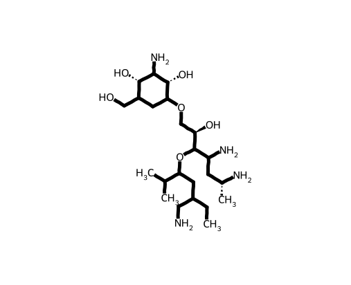 CCC(CN)CC(OC(C(N)C[C@@H](C)N)[C@H](O)COC1CC(CO)[C@H](O)C(N)[C@@H]1O)C(C)C